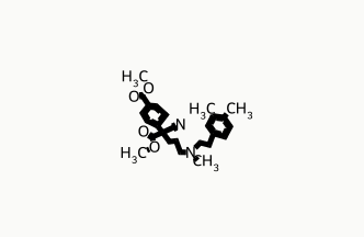 COC(=O)c1ccc(C(C#N)(CCCN(C)CCc2ccc(C)c(C)c2)C(=O)OC)cc1